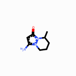 CC1CCCn2c(N)cc(=O)n21